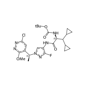 COc1nnc(Cl)cc1[C@H](C)n1cc(NC(=O)[C@@H](NC(=O)OC(C)(C)C)C(C2CC2)C2CC2)c(F)n1